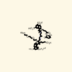 COCCOCCOCC[N+]1=C(/C=C/C(C)=C/C=C2/N(CCCC(=O)ON3C(=O)CCC3=O)c3ccc4c(S(=O)(=O)O)cc(S(=O)(=O)O)cc4c3C2(C)C)C(C)(CCCS(=O)(=O)O)c2c1ccc1c(S(=O)(=O)O)cc(S(=O)(=O)O)cc21